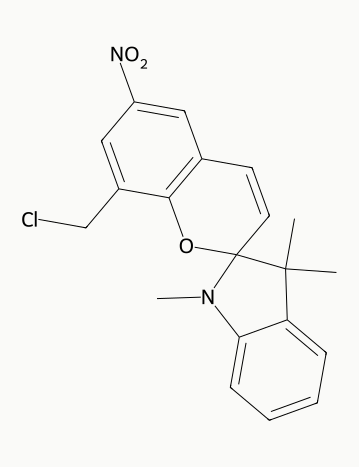 CN1c2ccccc2C(C)(C)C12C=Cc1cc([N+](=O)[O-])cc(CCl)c1O2